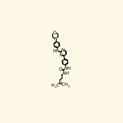 CN(C)CCCNC(=O)Nc1ccc(-c2ccnc(Nc3ccc(N4CCOCC4)cc3)n2)cc1